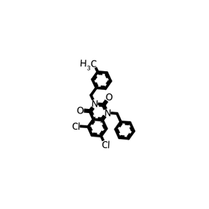 Cc1cccc(Cn2c(=O)c3c(Cl)cc(Cl)cc3n(Cc3ccccc3)c2=O)c1